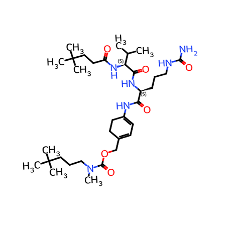 CC(C)[C@H](NC(=O)CCC(C)(C)C)C(=O)N[C@@H](CCCNC(N)=O)C(=O)NC1=CC=C(COC(=O)N(C)CCCC(C)(C)C)CC1